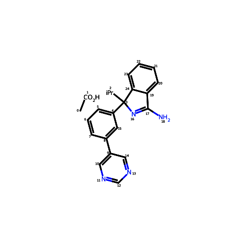 CC(=O)O.CC(C)C1(c2cccc(-c3cncnc3)c2)N=C(N)c2ccccc21